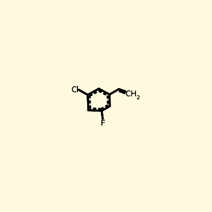 C=Cc1cc(F)cc(Cl)c1